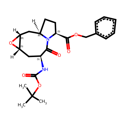 CC(C)(C)OC(=O)N[C@H]1C[C@@H]2O[C@@H]2C[C@H]2CC[C@@H](C(=O)OCc3ccccc3)N2C1=O